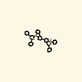 O=S1(c2ccccc2)=NC(c2ccccc2)=Cc2cc(-c3ccc4c(c3)c3ccccc3n4-c3cc(-c4ccccc4)nc(-c4ccccc4)n3)ccc21